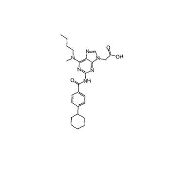 CCCCN(C)c1nc(NC(=O)c2ccc(C3CCCCC3)cc2)nc2c1ncn2CC(=O)O